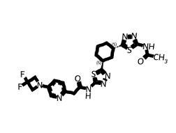 CC(=O)Nc1nnc([C@H]2CCC[C@H](c3nnc(NC(=O)Cc4ccc(N5CC(F)(F)C5)cn4)s3)C2)s1